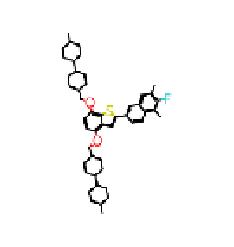 Cc1cc2cc(-c3cc4c(OCC5CCC(C6CCC(C)CC6)CC5)ccc(OCC5CCC(C6CCC(C)CC6)CC5)c4s3)ccc2c(C)c1F